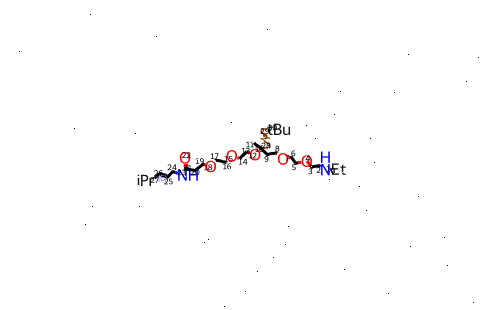 CCNCCOCCOCCC(C)(OCCOCCOCCC(=O)NC/C=C/C(C)C)SSC(C)(C)C